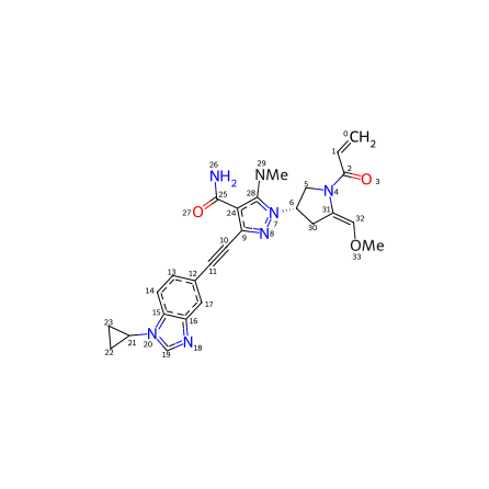 C=CC(=O)N1C[C@@H](n2nc(C#Cc3ccc4c(c3)ncn4C3CC3)c(C(N)=O)c2NC)C/C1=C\OC